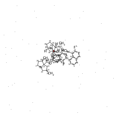 C#Cc1c(F)ccc2cccc(-c3nc4c5c(nc(OCC67CC(=C)CN6CCC7=C)nc5c3F)N3C[C@H]5CC[C@@H]([C@H]3[C@H](C)O4)N5C(=O)OC(C)(C)C)c12